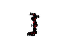 CCc1nc(-c2cccc3cc(-c4ccc(C(=O)NCCc5ccc(-c6cccc7c6CN(C6CCC(=O)NC6=O)C7=O)cc5)nc4)ncc23)c2n1CCN(C(C)=O)C2